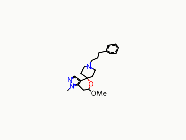 COC1Cc2c(cnn2C)C2(CCN(CCCc3ccccc3)CC2)O1